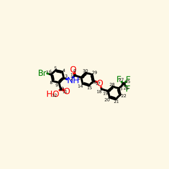 O=C(Nc1ccc(Br)cc1C(=O)O)c1ccc(OCc2cccc(C(F)(F)F)c2)cc1